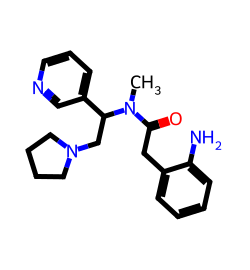 CN(C(=O)Cc1ccccc1N)C(CN1CCCC1)c1cccnc1